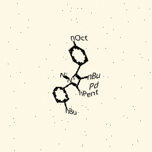 CCCCCCCCc1ccc(C2=C(CCCC)C(CCCCC)=C(c3cccc(CCCC)c3)[N+]2=[N-])cc1.[Pd]